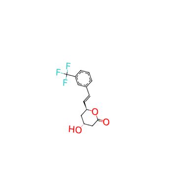 O=C1C[C@H](O)C[C@@H](/C=C/c2cccc(C(F)(F)F)c2)O1